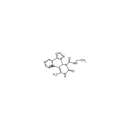 CCNC(=O)N1C(=O)NC(C)=C(C#N)C1c1ncoc1-c1cccnc1